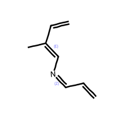 C=C/C=N\C=C(/C)C=C